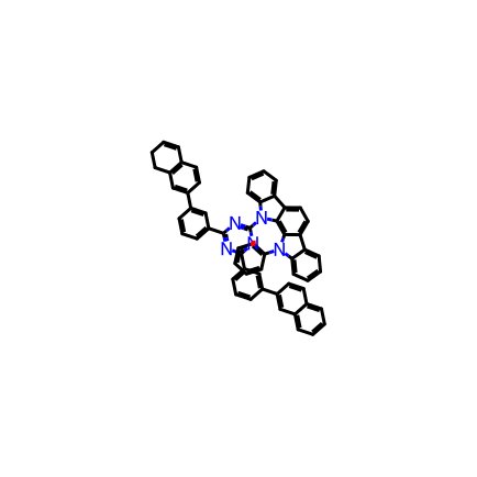 C1=Cc2ccc(-c3cccc(-c4nc(-c5cccc(-c6ccc7ccccc7c6)c5)nc(-n5c6ccccc6c6ccc7c8ccccc8n(-c8ccccc8)c7c65)n4)c3)cc2CC1